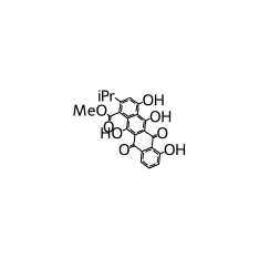 COC(=O)c1c(C(C)C)cc(O)c2c(O)c3c(c(O)c12)C(=O)c1cccc(O)c1C3=O